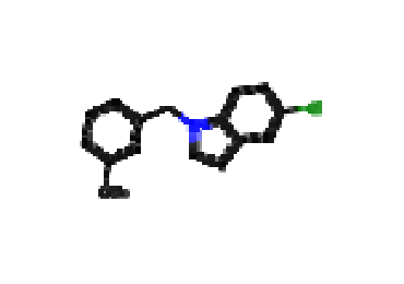 COc1cccc(Cn2c[c]c3cc(Cl)ccc32)c1